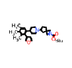 Cc1cc(C2CCN([C@@H]3CCC4(C3)CN(C(=O)OC(C)(C)C)C4)CC2)c(C2CCOC2)c(C)c1C